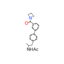 CC(=O)NC(C)Cc1ccc(-c2cccc(C(=O)N3CCC3)c2)cc1